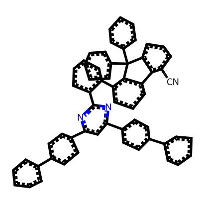 N#Cc1cccc2c1-c1cccc(-c3ccccc3-c3nc(-c4ccc(-c5ccccc5)cc4)cc(-c4ccc(-c5ccccc5)cc4)n3)c1C2(c1ccccc1)c1ccccc1